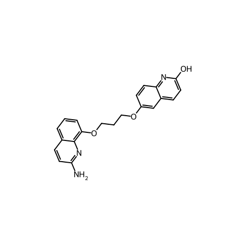 Nc1ccc2cccc(OCCCOc3ccc4nc(O)ccc4c3)c2n1